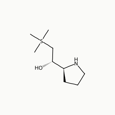 CS(C)(C)C[C@@H](O)[C@@H]1CCCN1